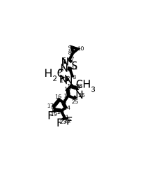 C=NN(Cc1nnc(C2CC2)s1)c1cc(-c2ccc(F)c(C(F)F)c2)cnc1C